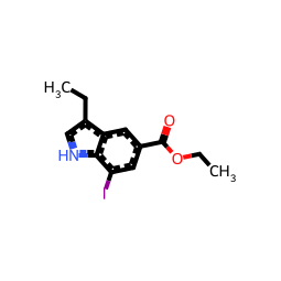 CCOC(=O)c1cc(I)c2[nH]cc(CC)c2c1